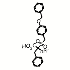 CCCC(Cc1ccccc1)(C(=O)O)S(=O)(=O)Cc1ccc(OCc2ccccc2)cc1